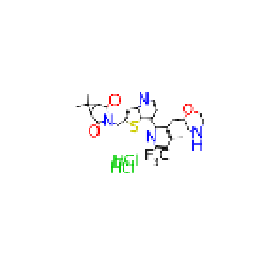 Cc1cc(C(F)(F)F)nc(-c2ccnc3cc(CN4C(=O)C5C(C4=O)C5(C)C)sc23)c1CC1CNCCO1.Cl.Cl